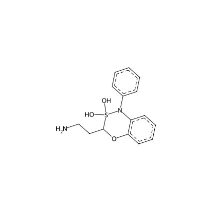 NCCC1Oc2ccccc2N(c2ccccc2)S1(O)O